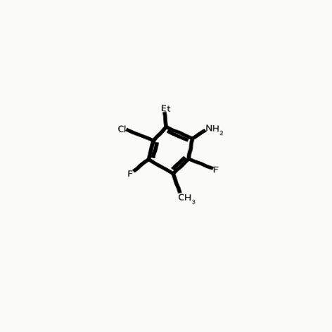 CCc1c(N)c(F)c(C)c(F)c1Cl